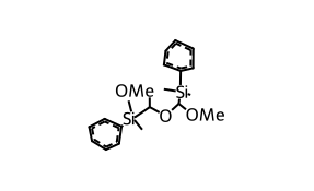 COC(OC(OC)[Si](C)(C)c1ccccc1)[Si](C)(C)c1ccccc1